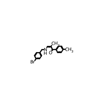 CC(=CNCc1ccc(Br)cc1)C(=O)c1ccc(C)cc1